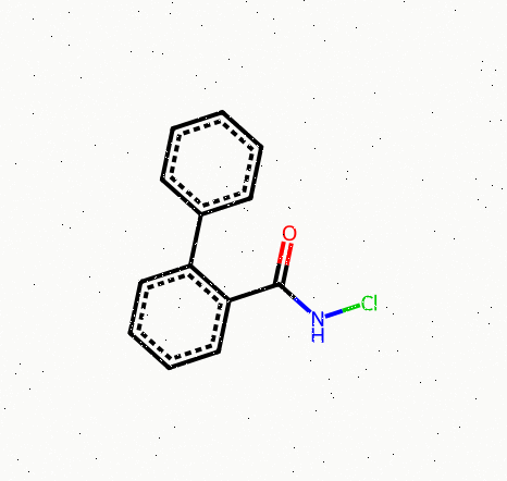 O=C(NCl)c1ccccc1-c1ccccc1